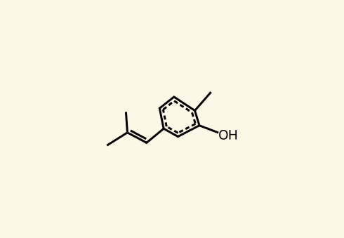 CC(C)=Cc1ccc(C)c(O)c1